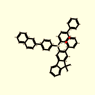 CC1(C)c2ccccc2-c2cc(N(c3ccc(-c4ccccc4)cc3)c3ccc(-c4ccc5ccccc5c4)cc3)c(-c3ccccc3)cc21